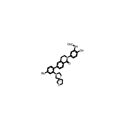 CC(C)(C)c1ccc(-c2ccc3c(c2)CCN(c2ccc(O)c(NC=O)c2)C3=O)c(N2CC[C@@]3(CCOC3)C2)c1